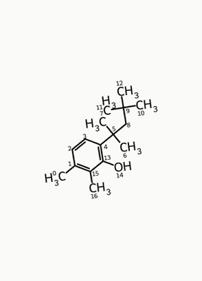 Cc1ccc(C(C)(C)CC(C)(C)C)c(O)c1C